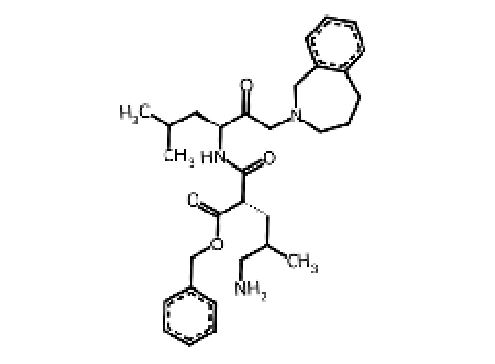 CC(C)C[C@H](NC(=O)[C@H](CC(C)CN)C(=O)OCc1ccccc1)C(=O)CN1CCCc2ccccc2C1